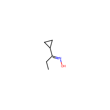 CCC(=NO)C1CC1